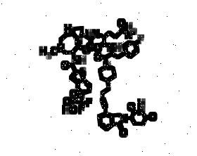 CN1CC[C@H]2CC[C@@H](C(=O)NC(CCC(N)=O)C(=O)NC(Cc3ccc(F)cc3)C(=O)N3CCC(CCC#Cc4cccc5c4CN(C4CCC(=O)NC4=O)C5=O)CC3)N2C(=O)[C@@H](NC(=O)c2cc3cc(C(F)(F)P(=O)(O)O)ccc3s2)C1